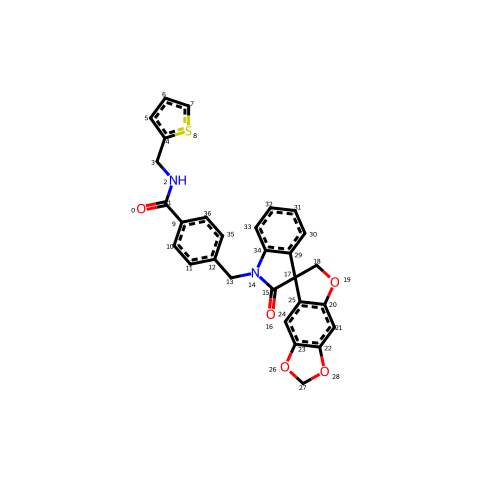 O=C(NCc1cccs1)c1ccc(CN2C(=O)C3(COc4cc5c(cc43)OCO5)c3ccccc32)cc1